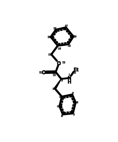 CCN[C@@H](Cc1ccccc1)C(=O)OCc1ccccc1